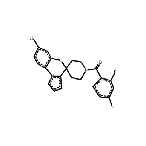 O=C(c1ccc(F)cc1F)N1CCC2(CC1)Oc1cc(Cl)ccc1-n1cccc12